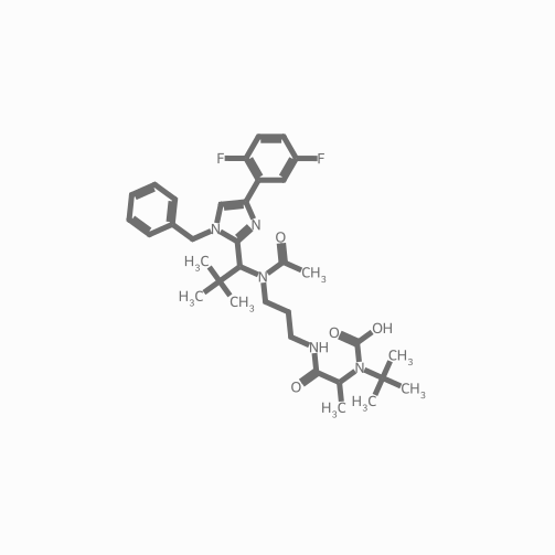 CC(=O)N(CCCNC(=O)C(C)N(C(=O)O)C(C)(C)C)C(c1nc(-c2cc(F)ccc2F)cn1Cc1ccccc1)C(C)(C)C